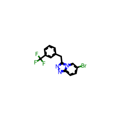 FC(F)(F)c1cccc(Cc2nnc3ccc(Br)cn23)c1